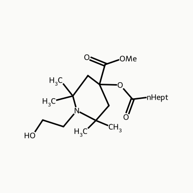 CCCCCCCC(=O)OC1(C(=O)OC)CC(C)(C)N(CCO)C(C)(C)C1